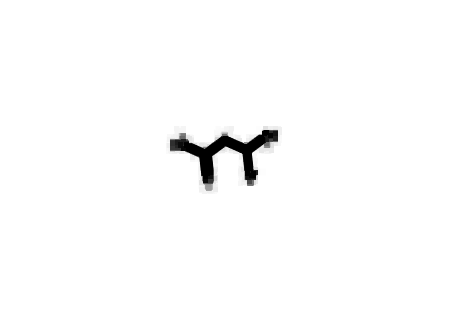 O=C(O)CC(S)Br